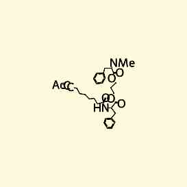 CNC(Cc1ccccc1)C(=O)OCCCOC(=O)C(Cc1ccccc1)NC(=O)CCCCCCCCC(C)=O